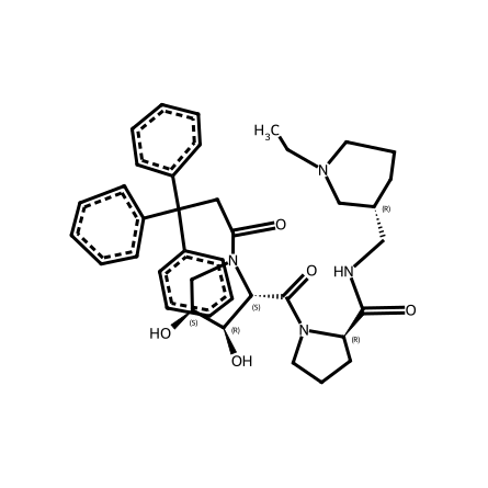 CCN1CCC[C@H](CNC(=O)[C@H]2CCCN2C(=O)[C@@H]2[C@@H](O)[C@@H](O)CN2C(=O)CC(c2ccccc2)(c2ccccc2)c2ccccc2)C1